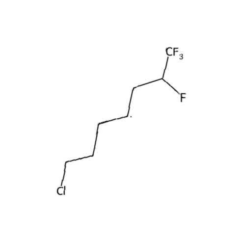 FC(C[CH]CCCCl)C(F)(F)F